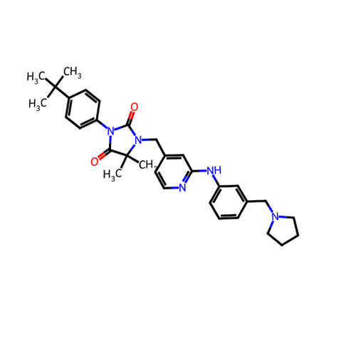 CC(C)(C)c1ccc(N2C(=O)N(Cc3ccnc(Nc4cccc(CN5CCCC5)c4)c3)C(C)(C)C2=O)cc1